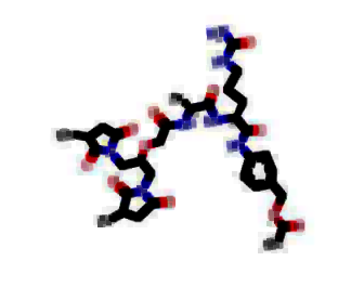 CC(C)C1CC(=O)N(CC(CN2C(=O)CC(C(C)(C)C)C2=O)OCC(=O)N[C@H](C(=O)N[C@@H](CCCNC(N)=O)C(=O)Nc2ccc(COC(=O)C(C)(C)C)cc2)C(C)C)C1=O